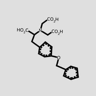 O=C(O)CN(CC(=O)O)C(Cc1ccc(OCc2ccccc2)cc1)C(=O)O